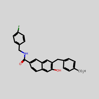 O=C(O)c1ccc(Cc2cc3cc(C(=O)NCc4ccc(F)cc4)ccc3cc2O)cc1